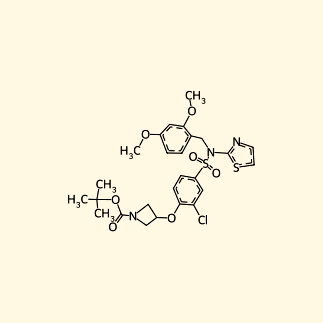 COc1ccc(CN(c2nccs2)S(=O)(=O)c2ccc(OC3CN(C(=O)OC(C)(C)C)C3)c(Cl)c2)c(OC)c1